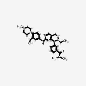 CCN1OCc2cnc(Nc3ccc(N4CCN(C)CC4)c(CO)c3)nc2N1c1cccc(C(=O)N(C)C)c1